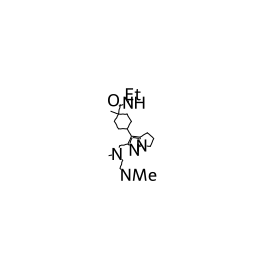 CCNC(=O)C1(C)CCC(c2c(CN(C)CCNC)nn3c2CCC3)CC1